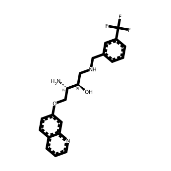 N[C@@H](COc1ccc2cccnc2c1)[C@H](O)CNCc1cccc(C(F)(F)F)c1